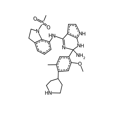 COc1cc(C2CCNCC2)c(C)cc1C1(N)N=C(Nc2cccc3c2N(S(C)(=O)=O)CC3)c2cc[nH]c2N1